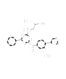 COc1cc(Nc2nc(NCC(C)C)nc(-c3ccccc3)n2)ccc1-c1cnco1